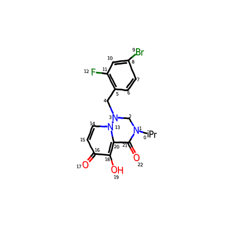 CC(C)N1CN(Cc2ccc(Br)cc2F)n2ccc(=O)c(O)c2C1=O